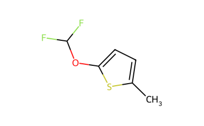 Cc1ccc(OC(F)F)s1